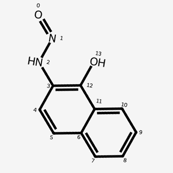 O=NNc1ccc2ccccc2c1O